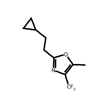 Cc1oc(CCC2CC2)nc1C(F)(F)F